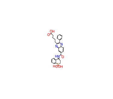 O=C(O)CCCCc1nc2cc(C(=O)N[C@@H]3CCS(O)(O)c4ccccc43)ccc2nc1-c1ccccc1